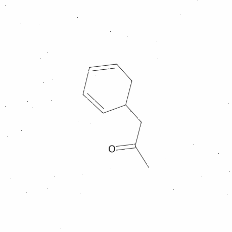 CC(=O)CC1C=CC=CC1